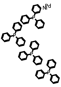 [Ni].[Pd].c1ccc(P(c2ccccc2)c2ccccc2)cc1.c1ccc(P(c2ccccc2)c2ccccc2)cc1.c1ccc(P(c2ccccc2)c2ccccc2)cc1.c1ccc(P(c2ccccc2)c2ccccc2)cc1